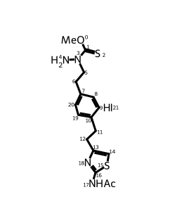 COC(=S)N(N)CCc1ccc(CCc2csc(NC(C)=O)n2)cc1.I